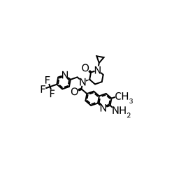 Cc1cc2cc(C(=O)N(Cc3ccc(C(F)(F)F)cn3)[C@@H]3CCCN(C4CC4)C3=O)ccc2nc1N